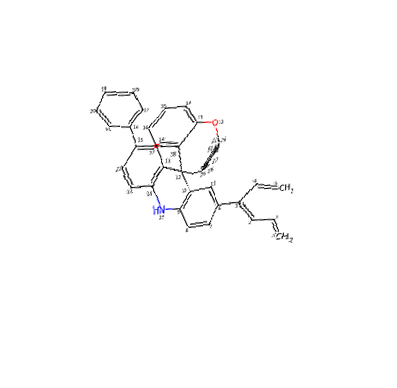 C=C/C=C(\C=C)c1ccc2c(c1)C1(c3cc(-c4ccccc4)ccc3N2)c2ccccc2Oc2ccccc21